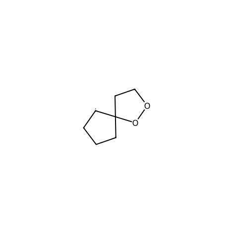 [CH]1CCCC12CCOO2